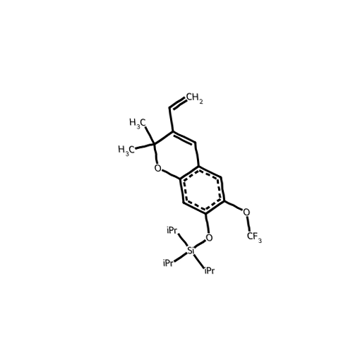 C=CC1=Cc2cc(OC(F)(F)F)c(O[Si](C(C)C)(C(C)C)C(C)C)cc2OC1(C)C